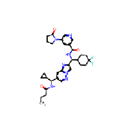 O=C(CCC(F)(F)F)NC(c1cnn2cc([C@@H](NC(=O)c3cncc(N4CCCC4=O)c3)C3CCC(F)(F)CC3)nc2c1)C1CC1